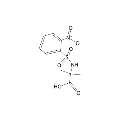 CC(C)(NS(=O)(=O)c1ccccc1[N+](=O)[O-])C(=O)O